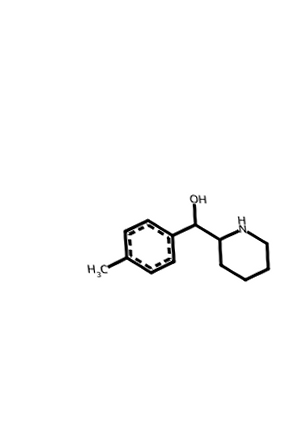 Cc1ccc(C(O)C2CCCCN2)cc1